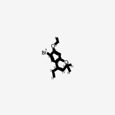 CCOc1cc2c(cc1Br)C(CC)=CC(C)(C)O2